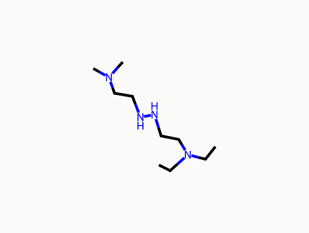 CCN(CC)CCNNCCN(C)C